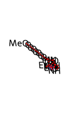 CCN(CC)c1ccc(NC(=O)c2cccc(C(=O)N(C)CCN3CCCN(C(=O)CCOCCOCCOCCOCCOCCOCCOCCOC)CC3)c2)c(/C(C)=C/C(CC=N)C(=O)N[C@H]2CCCc3ccccc32)c1